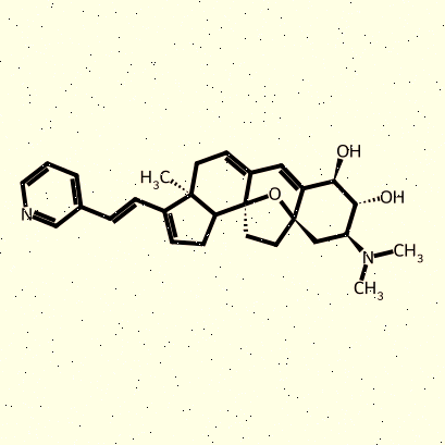 CN(C)[C@H]1C[C@@]23CC[C@@]4(O2)C(=CC[C@]2(C)C(/C=C/c5cccnc5)=CCC24)C=C3[C@@H](O)[C@@H]1O